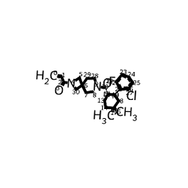 C=CC(=O)N1CC2(CCN(C(=O)[C@H]3CCC(C)(C)C[C@@H]3c3c(F)cccc3Cl)CC2)C1